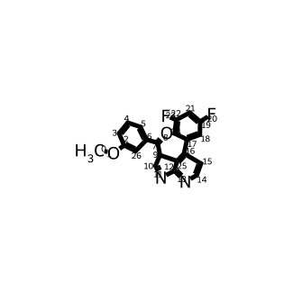 COc1cccc(C(=O)C2C=Nc3nccc(-c4cc(F)cc(F)c4)c32)c1